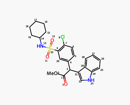 COC(=O)C(c1ccc(Cl)c(S(=O)(=O)NC2CCCCC2)c1)c1c[nH]c2ccccc12